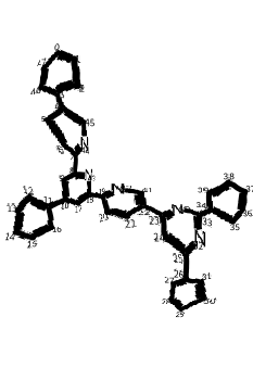 c1ccc(-c2ccc(-c3cc(-c4ccccc4)cc(-c4ccc(-c5cc(-c6ccccc6)nc(-c6ccccc6)n5)cn4)n3)nc2)cc1